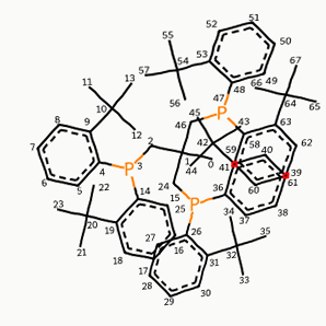 CC(CP(c1ccccc1C(C)(C)C)c1ccccc1C(C)(C)C)(CP(c1ccccc1C(C)(C)C)c1ccccc1C(C)(C)C)CP(c1ccccc1C(C)(C)C)c1ccccc1C(C)(C)C